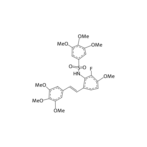 COc1ccc(C=Cc2cc(OC)c(OC)c(OC)c2)c(NS(=O)(=O)c2cc(OC)c(OC)c(OC)c2)c1F